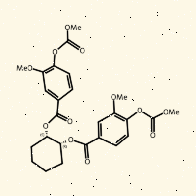 COC(=O)Oc1ccc(C(=O)O[C@H]2CCCC[C@H]2OC(=O)c2ccc(OC(=O)OC)c(OC)c2)cc1OC